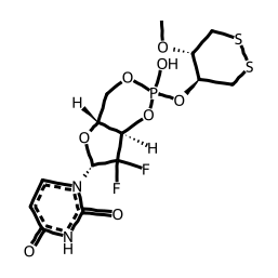 CO[C@@H]1CSSC[C@H]1O[P]1(O)OC[C@H]2O[C@@H](n3ccc(=O)[nH]c3=O)C(F)(F)[C@@H]2O1